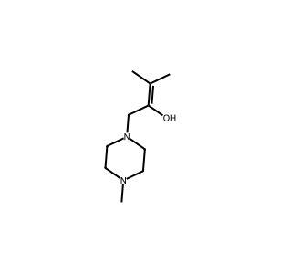 CC(C)=C(O)CN1CCN(C)CC1